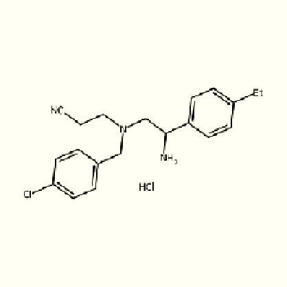 CCc1ccc(C(N)CN(CCC#N)Cc2ccc(Cl)cc2)cc1.Cl